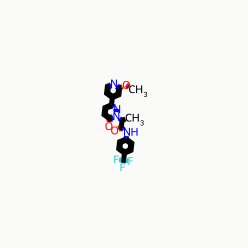 COc1cc(-c2ccc(=O)n(C(C)C(=O)Nc3ccc(C(F)(F)F)cc3)n2)ccn1